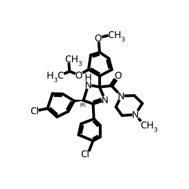 COc1ccc(C2(C(=O)N3CCN(C)CC3)N=C(c3ccc(Cl)cc3)[C@@H](c3ccc(Cl)cc3)N2)c(OC(C)C)c1